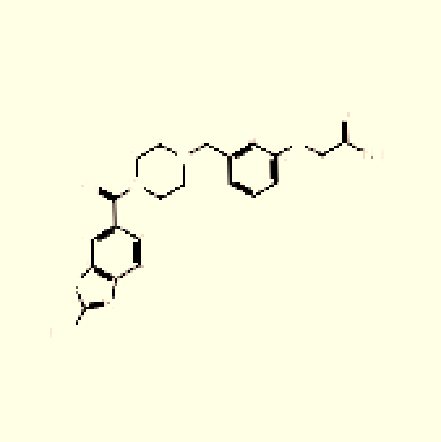 Cc1nc2ccc(C(=O)N3CCN(Cc4cccc(OCC(N)=O)c4)CC3)cc2[nH]1